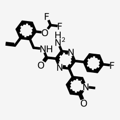 C=Cc1cccc(OC(F)F)c1CNC(=O)c1nc(-c2ccc(=O)n(C)c2)c(-c2ccc(F)cc2)nc1N